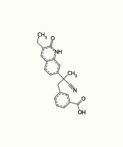 CCc1cc2ccc(C(C)(C#N)Cc3cccc(C(=O)O)c3)cc2[nH]c1=O